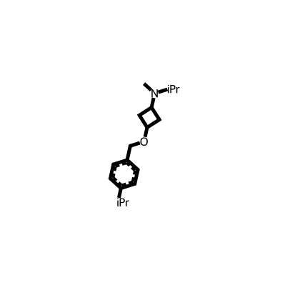 CC(C)c1ccc(COC2CC(N(C)C(C)C)C2)cc1